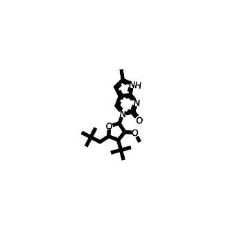 COC1C(n2cc3cc(C)[nH]c3nc2=O)OC(CC(C)(C)C)C1C(C)(C)C